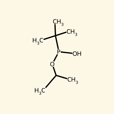 CC(C)OP(O)C(C)(C)C